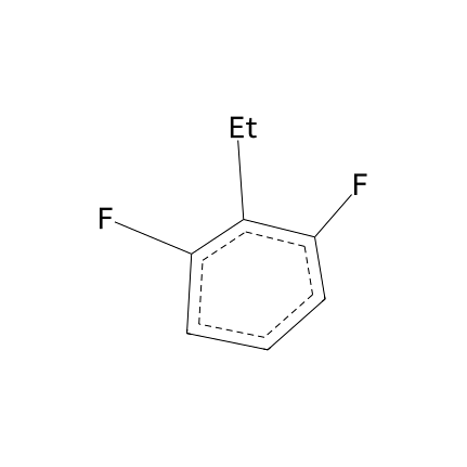 CCc1c(F)cccc1F